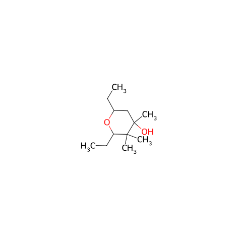 CCC1CC(C)(O)C(C)(C)C(CC)O1